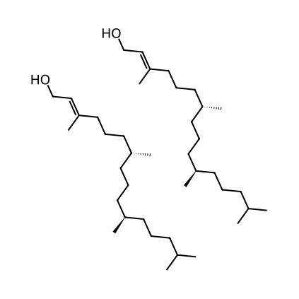 C/C(=C\CO)CCC[C@H](C)CCC[C@H](C)CCCC(C)C.C/C(=C\CO)CCC[C@H](C)CCC[C@H](C)CCCC(C)C